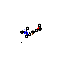 c1ccc(-c2nc(-c3ccccc3)nc(-n3c4ccccc4c4cc5sc6cc(-c7ccc(-c8cccc9c8oc8ccccc89)cc7)ccc6c5cc43)n2)cc1